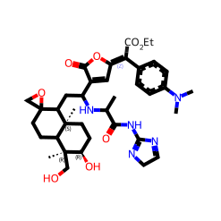 CCOC(=O)/C(=C1/C=C(C(CC2C3(CCC4[C@]2(C)CC[C@@H](O)[C@@]4(C)CO)CO3)NC(C)C(=O)NC2=NCC=N2)C(=O)O1)c1ccc(N(C)C)cc1